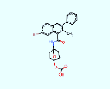 Cc1c(-c2ccccc2)cc2ccc(Br)cc2c1C(=O)NC12CCC(OC(=O)O)(CC1)OC2